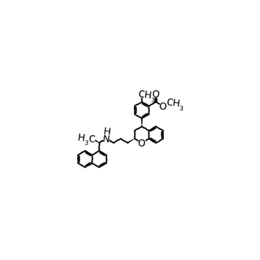 COC(=O)c1cc([C@@H]2C[C@H](CCCN[C@H](C)c3cccc4ccccc34)Oc3ccccc32)ccc1C